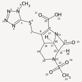 Cn1nnnc1SCC1=C(C(=O)O)N2C(=O)[C@@H]3[C@H]2C1CCN3S(C)(=O)=O